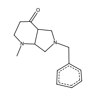 CN1CCC(=O)C2CN(Cc3ccccc3)CC21